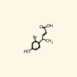 CC(/C=C/C(=O)O)c1ccc(O)cc1Br